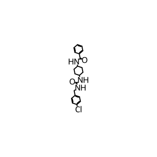 O=C(NCc1ccc(Cl)cc1)NC1CCC(NC(=O)c2ccccc2)CC1